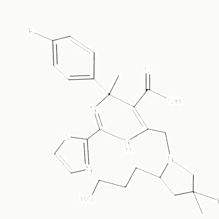 CC1(c2ccc(F)cc2)N=C(c2nccs2)NC(CN2CC(F)(F)CC2CCCO)=C1C(=O)O